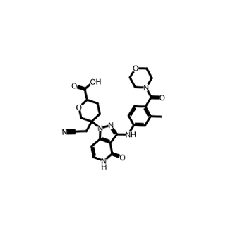 Cc1cc(Nc2nn(C3(CC#N)CCC(C(=O)O)OC3)c3cc[nH]c(=O)c23)ccc1C(=O)N1CCOCC1